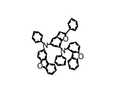 c1ccc(-c2cc3cc(N(c4ccccc4)c4ccc5oc6ccccc6c5c4)cc(N(c4ccccc4)c4cccc5oc6ccccc6c45)c3o2)cc1